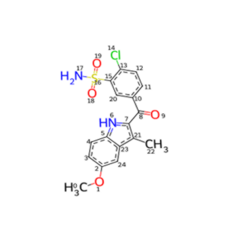 COc1ccc2[nH]c(C(=O)c3ccc(Cl)c(S(N)(=O)=O)c3)c(C)c2c1